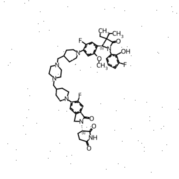 CCC1(CC)C(=O)N(c2cccc(F)c2O)[C@H]1c1cc(F)c(N2CCC(CN3CCN(CC4CCN(c5cc6c(cc5F)C(=O)N([C@H]5CCC(=O)NC5=O)C6)CC4)CC3)CC2)cc1OC